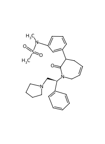 CN(c1cccc(C2CC=CCN([C@H](CN3CCCC3)c3ccccc3)C2=O)c1)S(C)(=O)=O